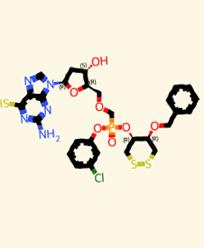 Nc1nc(S)c2ncn([C@H]3C[C@H](O)[C@@H](COCP(=O)(Oc4cccc(Cl)c4)O[C@H]4CSSC[C@@H]4OCc4ccccc4)O3)c2n1